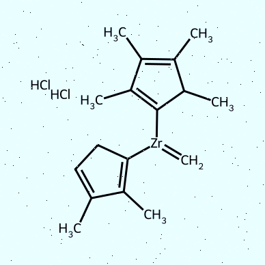 Cl.Cl.[CH2]=[Zr]([C]1=C(C)C(C)=CC1)[C]1=C(C)C(C)=C(C)C1C